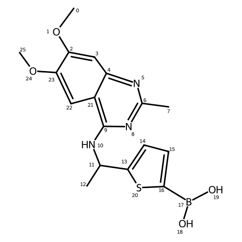 COc1cc2nc(C)nc(NC(C)c3ccc(B(O)O)s3)c2cc1OC